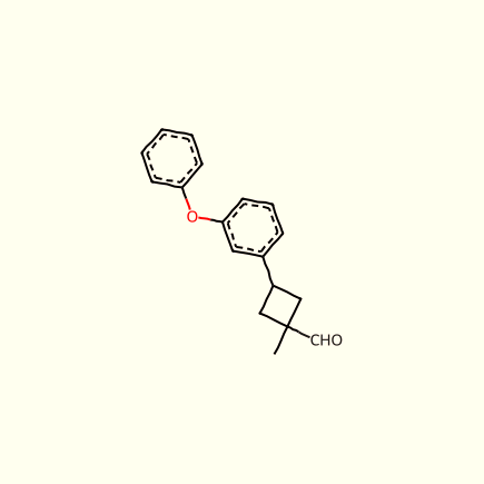 CC1(C=O)CC(c2cccc(Oc3ccccc3)c2)C1